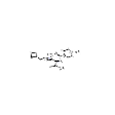 C\N=C(/N=C(\C=C\NCC1CCC1)C(N)=O)N1CCN(C)CC1